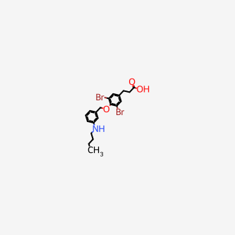 CCCCNc1cccc(COc2c(Br)cc(CCC(=O)O)cc2Br)c1